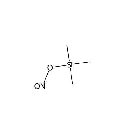 C[Si](C)(C)ON=O